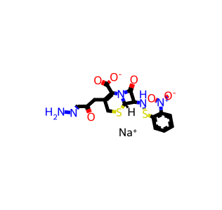 NN=CC(=O)CC1=C(C(=O)[O-])N2C(=O)C(NSc3ccccc3[N+](=O)[O-])[C@@H]2SC1.[Na+]